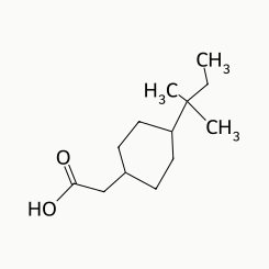 CCC(C)(C)C1CCC(CC(=O)O)CC1